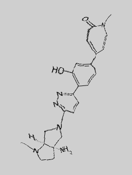 CN1CC[C@]2(N)CN(c3ccc(-c4ccc(-c5ccn(C)c(=O)c5)cc4O)nn3)C[C@H]12